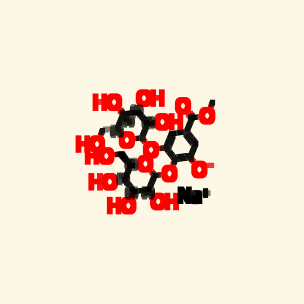 COC(=O)c1cc([O-])c(OC2O[C@H](CO)[C@@H](O)[C@H](O)[C@H]2O)c(OC2O[C@H](CO)[C@@H](O)[C@H](O)[C@H]2O)c1.[Na+]